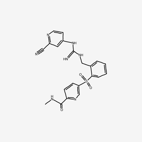 CNC(=O)c1ccc(S(=O)(=O)c2ccccc2CNC(=N)Nc2ccnc(C#N)c2)cn1